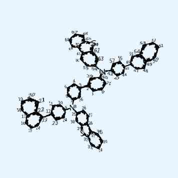 c1cc(-c2cccc(N(c3ccc(-c4cccc5ccccc45)cc3)c3ccc4c(c3)sc3ccccc34)c2)cc(N(c2ccc(-c3ccc4ccccc4c3)cc2)c2ccc3c(c2)sc2ccccc23)c1